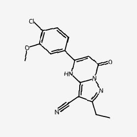 CCc1nn2c(=O)cc(-c3ccc(Cl)c(OC)c3)[nH]c2c1C#N